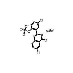 O=c1[nH]c(-c2cc(Cl)ccc2OP(=O)([O-])[O-])nc2ccc(Cl)cc12.[Na+].[Na+]